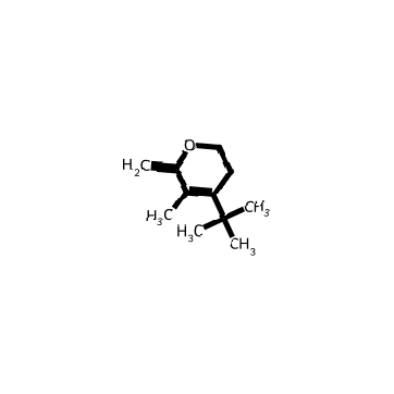 C=C1OCCC(C(C)(C)C)=C1C